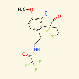 COc1ccc(CCNC(=O)C(F)(F)F)c2c1NC(=O)C21CCSS1